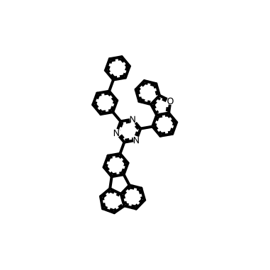 c1ccc(-c2cccc(-c3nc(-c4ccc5c(c4)-c4cccc6cccc-5c46)nc(-c4cccc5oc6ccccc6c45)n3)c2)cc1